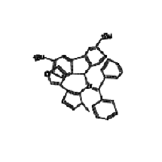 CC1C=CC(c2ccoc2)=[C]1[Zr](=[C](c1ccccc1)c1ccccc1)[CH]1c2ccc(C(C)(C)C)cc2-c2cc(C(C)(C)C)ccc21